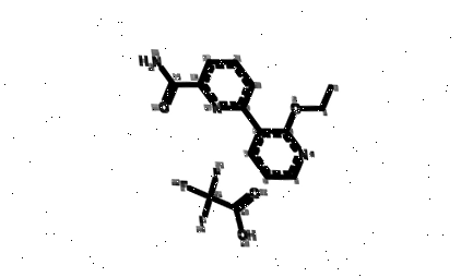 CCOc1ncccc1-c1cccc(C(N)=O)n1.O=C(O)C(F)(F)F